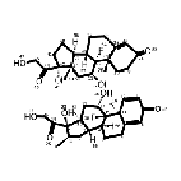 C[C@@H]1C[C@H]2[C@@H]3CCC4=CC(=O)C=C[C@]4(C)[C@@]3(F)[C@@H](O)C[C@]2(C)[C@@]1(O)C(=O)CO.C[C@]12CCC(=O)C=C1CC[C@H]1[C@@H]3CC[C@](O)(C(=O)CO)[C@@]3(C)C[C@H](O)[C@@]12F